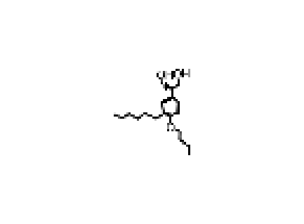 CCCCCCc1cc(C(CO)=NO)ccc1OCCCC